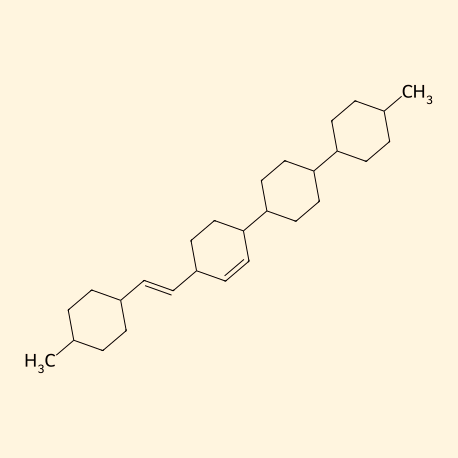 CC1CCC(/C=C/C2C=CC(C3CCC(C4CCC(C)CC4)CC3)CC2)CC1